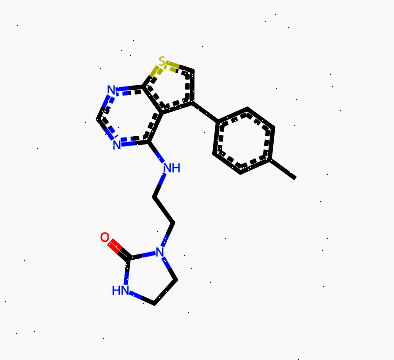 Cc1ccc(-c2csc3ncnc(NCCN4CCNC4=O)c23)cc1